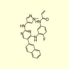 C=CC(=O)Nc1ccc(F)c(Nc2nc(Nc3cnn(C)c3)ncc2-c2ccc3ccccc3c2)c1